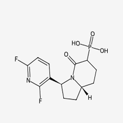 O=C1C(P(=O)(O)O)CC[C@@H]2CC[C@@H](c3ccc(F)nc3F)N12